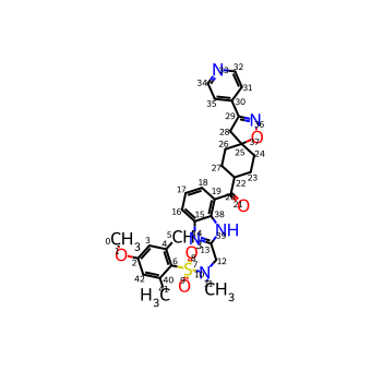 COc1cc(C)c(S(=O)(=O)N(C)Cc2nc3cccc(C(=O)C4CCC5(CC4)CC(c4ccncc4)=NO5)c3[nH]2)c(C)c1